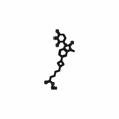 Cn1c(=O)n(C2CCC(=O)NC2=O)c2ccc(C3CC(CCCCC(=O)OC(C)(C)C)C3)cc21